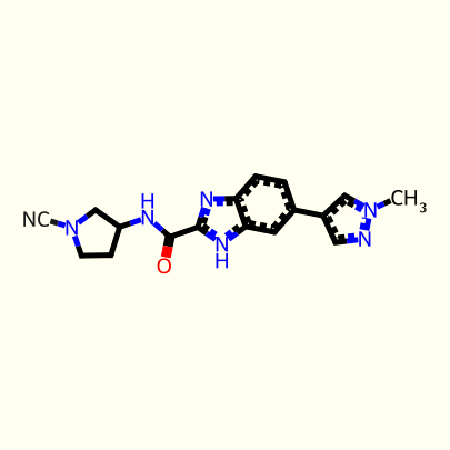 Cn1cc(-c2ccc3nc(C(=O)NC4CCN(C#N)C4)[nH]c3c2)cn1